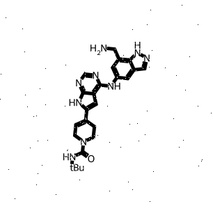 CC(C)(C)NC(=O)N1CC=C(c2cc3c(Nc4cc(CN)c5[nH]ncc5c4)ncnc3[nH]2)CC1